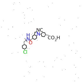 CC(C)(Cc1ccc(Cl)cc1)NC(=O)c1ccc2c(ccn2-c2ccc(CC(=O)O)cc2C#N)c1